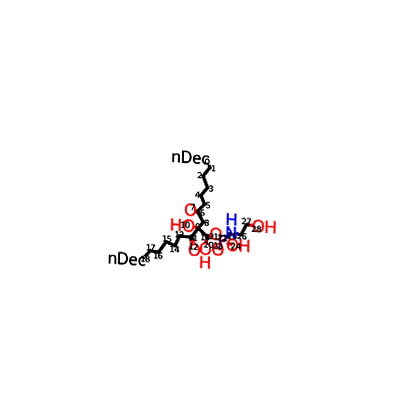 CCCCCCCCCCCCCCCC(=O)CC(O)(C(=O)CCCCCCCCCCCCCCC)C(O)OP(=O)(O)NCCO